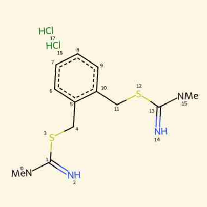 CNC(=N)SCc1ccccc1CSC(=N)NC.Cl.Cl